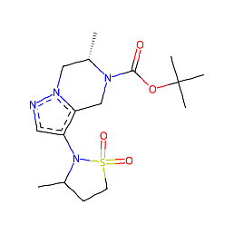 CC1CCS(=O)(=O)N1c1cnn2c1CN(C(=O)OC(C)(C)C)[C@@H](C)C2